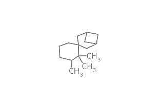 CC1CCCC2(CC3CC(C3)C2)C1(C)C